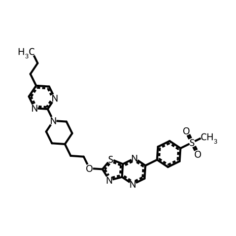 CCCc1cnc(N2CCC(CCOc3nc4ncc(-c5ccc(S(C)(=O)=O)cc5)nc4s3)CC2)nc1